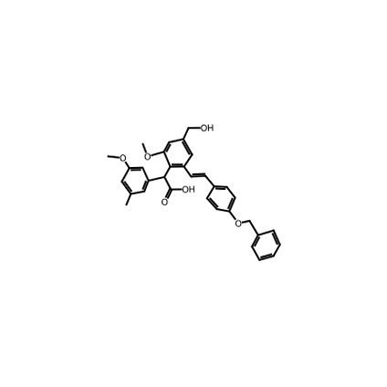 COc1cc(C)cc(C(C(=O)O)c2c(/C=C/c3ccc(OCc4ccccc4)cc3)cc(CO)cc2OC)c1